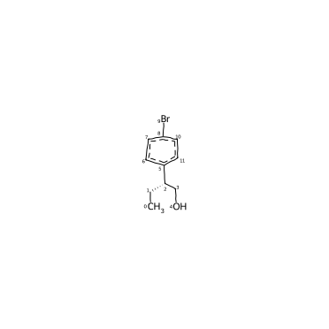 CC[C@@H](CO)c1ccc(Br)cc1